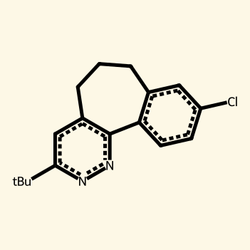 CC(C)(C)c1cc2c(nn1)-c1ccc(Cl)cc1CCC2